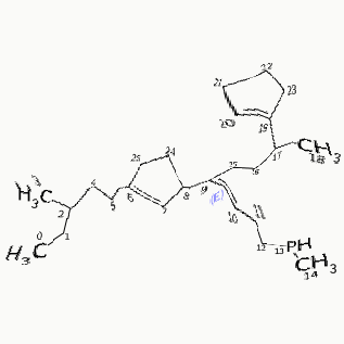 CCC(C)CCC1=CC(/C(=C/CCPC)CCC(C)C2=CCCC2)CC1